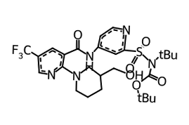 CC(C)(C)OC(=O)N(C(C)(C)C)S(=O)(=O)c1cc(NC(=O)c2cc(C(F)(F)F)cnc2N2CCCC(CO)C2)ccn1